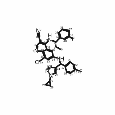 CC[C@@H](Nc1c(C#N)cnc2c(Cl)cc(NC(c3ccc(F)cc3)c3cn(C4CC4)nn3)cc12)c1cccc(F)c1